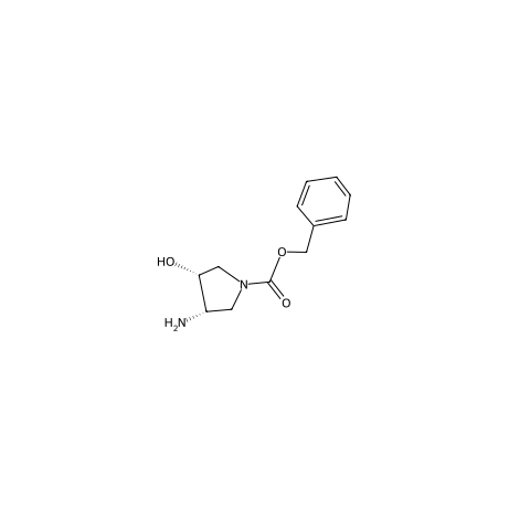 N[C@H]1CN(C(=O)OCc2ccccc2)C[C@H]1O